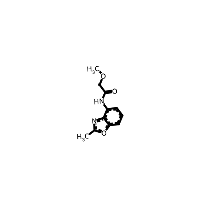 COCC(=O)Nc1cccc2oc(C)nc12